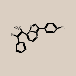 CC/C(=C(\C(=O)O)c1ccnc2c(-c3ccc(C(F)(F)F)cc3)cnn12)c1ccccc1